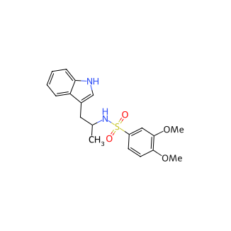 COc1ccc(S(=O)(=O)NC(C)Cc2c[nH]c3ccccc23)cc1OC